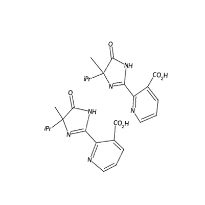 CC(C)C1(C)N=C(c2ncccc2C(=O)O)NC1=O.CC(C)C1(C)N=C(c2ncccc2C(=O)O)NC1=O